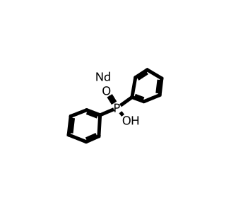 O=P(O)(c1ccccc1)c1ccccc1.[Nd]